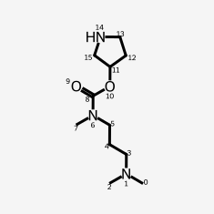 CN(C)CCCN(C)C(=O)OC1CCNC1